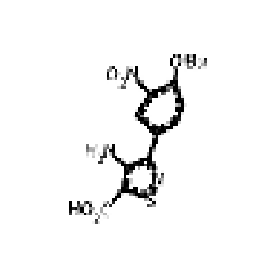 CC(C)COc1ccc(-c2nsc(C(=O)O)c2N)cc1[N+](=O)[O-]